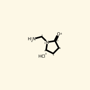 Cl.NCN1CCCC1=O